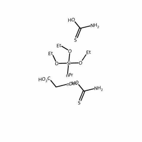 CCCCCCCCCCCC(=O)O.CCC[Si](OCC)(OCC)OCC.NC(O)=S.NC(O)=S